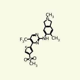 Cc1cc2c(cc1Nc1ncc(C(F)(F)F)c(-c3cc(S(C)(=O)=O)cs3)n1)CN(C)C2